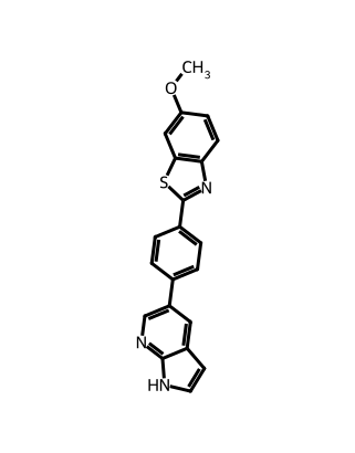 COc1ccc2nc(-c3ccc(-c4cnc5[nH]ccc5c4)cc3)sc2c1